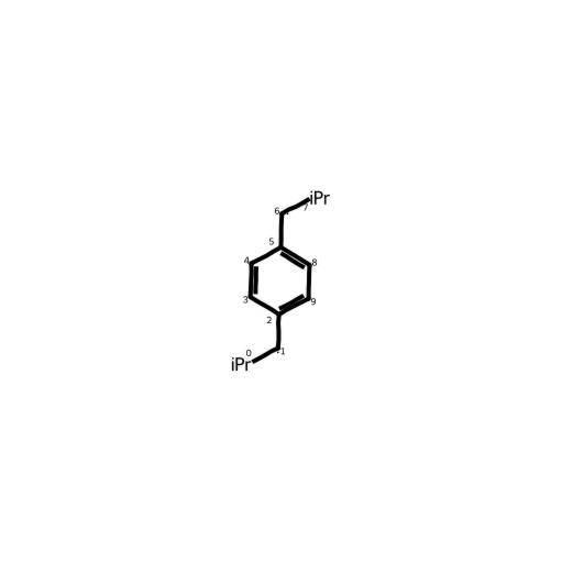 CC(C)[CH]c1ccc([CH]C(C)C)cc1